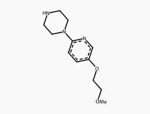 COCCOc1ccc(N2CCNCC2)nc1